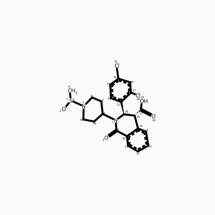 C[S+]([O-])N1CCC(N2C(=O)c3ccccc3[C@@H](C(=O)O)[C@@H]2c2ccc(Cl)cc2Cl)CC1